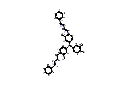 Cc1ccc(N(c2ccc(/C=C/C=C/c3ccccc3)c(C)c2)c2ccc(/C=C/C=C/c3ccccc3)c(C)c2)cc1C